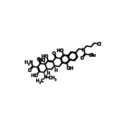 CN(C)[C@@H]1C(O)=C(C(N)=O)C(=O)[C@@]2(O)C(O)=C3C(=O)c4c(c(O)c5ccc(CN(CCCCl)C(=O)C(C)(C)C)cc5c4O)C[C@H]3C[C@@H]12